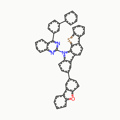 c1ccc(-c2cccc(-c3nc(-n4c5ccc(-c6ccc7oc8ccccc8c7c6)cc5c5ccc6c7ccccc7sc6c54)nc4ccccc34)c2)cc1